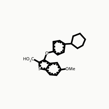 COc1ccc2sc(C(=O)O)c(Oc3ccc(C4CCCCC4)cc3)c2c1